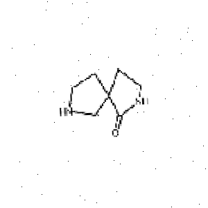 O=C1NCCC12[CH]NCC2